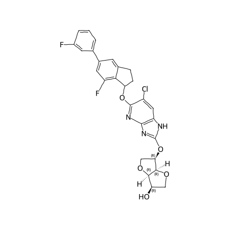 O[C@@H]1CO[C@H]2[C@@H]1OC[C@H]2Oc1nc2nc(OC3CCc4cc(-c5cccc(F)c5)cc(F)c43)c(Cl)cc2[nH]1